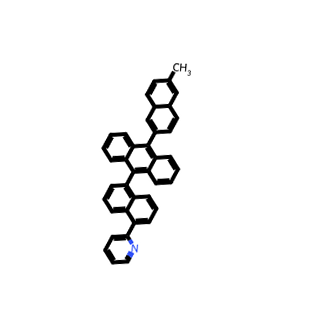 CC1=CC2C=CC(c3c4ccccc4c(-c4cccc5c(-c6ccccn6)cccc45)c4ccccc34)=CC2C=C1